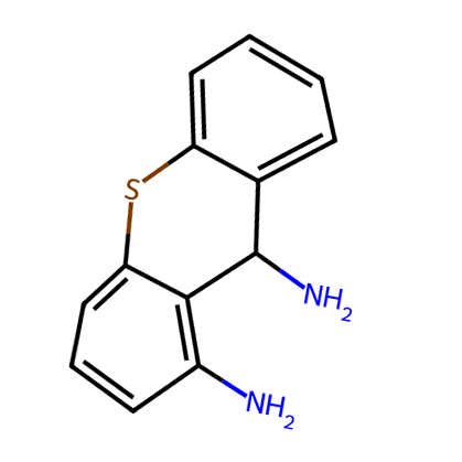 Nc1cccc2c1C(N)c1ccccc1S2